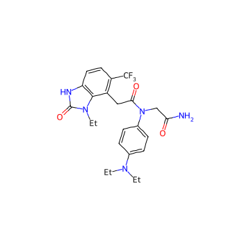 CCN(CC)c1ccc(N(CC(N)=O)C(=O)Cc2c(C(F)(F)F)ccc3[nH]c(=O)n(CC)c23)cc1